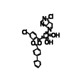 O=C(O[C@H](c1ccc(Cl)cc1)[C@H]1C[C@@H](n2ccc3c(Cl)ncnc32)[C@H](O)[C@@H]1O)c1ccc(-c2ccccc2)cc1